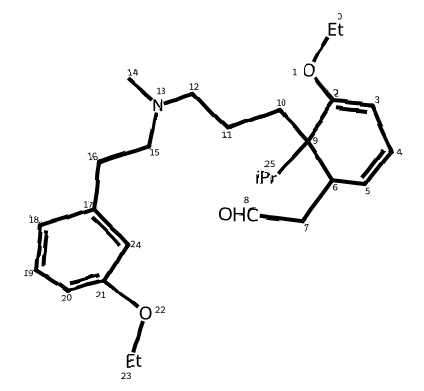 CCOC1=CC=CC(CC=O)C1(CCCN(C)CCc1cccc(OCC)c1)C(C)C